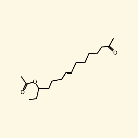 CCC(CCC/C=C/CCCCCC(C)=O)OC(C)=O